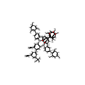 Cc1cc(C)c(-c2ccc3c(c2)c2cc(-c4c(C)cc(C)cc4C)ccc2n3-c2cc(C#N)c(-c3cc(C#N)cc(C(F)(F)F)c3)cc2-n2c3ccc(-c4c(C)cc(C)cc4C)cc3c3cc(-c4c(C)cc(C)cc4C)ccc32)c(C)c1